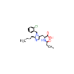 CCCCc1ncc(C[C@H](NC(=O)CC)C(=O)O)n1Cc1ccccc1Cl